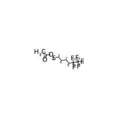 CC(=O)OSCCCCC(F)(F)C(F)(F)F